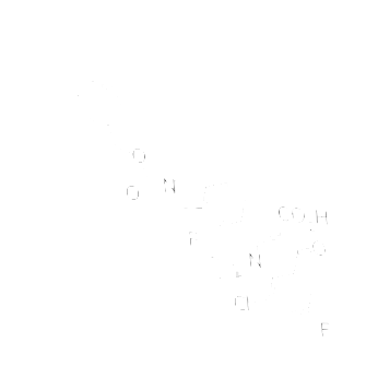 O=C(O)c1c(-c2ccc3c(c2)CN(C(=O)OCc2ccccc2)C3)n([C@@H]2C[C@@H]2F)c2c(Cl)cc(F)cc2c1=O